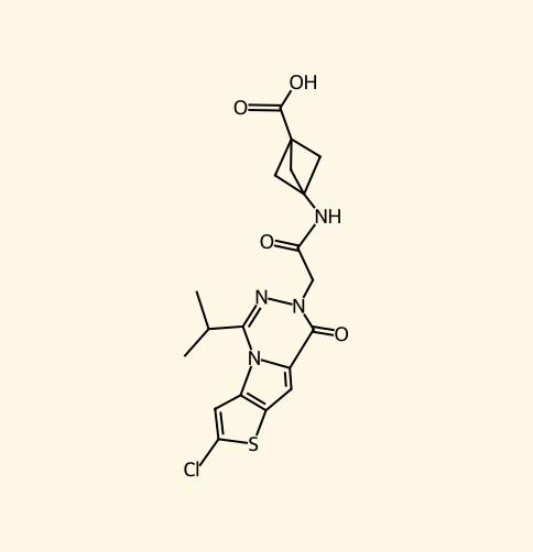 CC(C)c1nn(CC(=O)NC23CC(C(=O)O)(C2)C3)c(=O)c2cc3sc(Cl)cc3n12